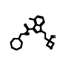 Cc1cccc2c1c(C(=O)NCC1CCCCCC1)cn2CCC1(O)COC1